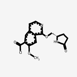 COc1cc2c(OC[C@@H]3CCC(=O)N3)nccc2cc1C(=O)Cl